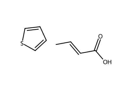 CC=CC(=O)O.c1ccsc1